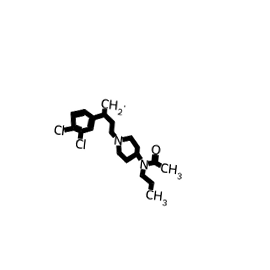 [CH2]C(CCN1CCC(N(CCC)C(C)=O)CC1)c1ccc(Cl)c(Cl)c1